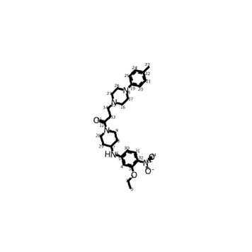 CCOc1cc(NC2CCN(C(=O)CCN3CCN(c4ccc(C)cc4)CC3)CC2)ccc1[N+](=O)[O-]